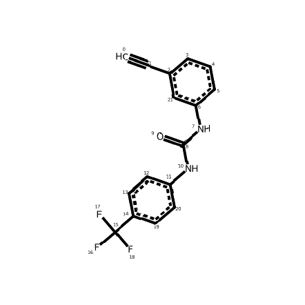 C#Cc1cccc(NC(=O)Nc2ccc(C(F)(F)F)cc2)c1